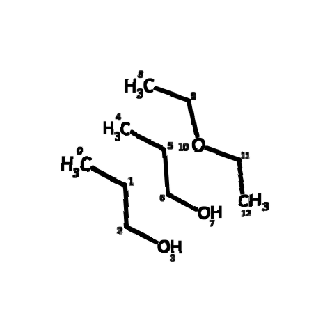 CCCO.CCCO.CCOCC